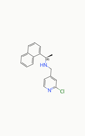 C[C@@H](NCc1ccnc(Cl)c1)c1cccc2ccccc12